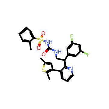 Cc1cc(-c2cccnc2C(CNC(=O)NS(=O)(=O)c2ccccc2C)c2cc(F)cc(F)c2)c(C)s1